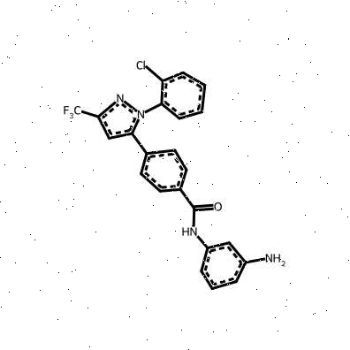 Nc1cccc(NC(=O)c2ccc(-c3cc(C(F)(F)F)nn3-c3ccccc3Cl)cc2)c1